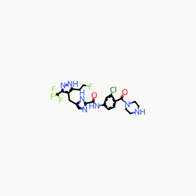 O=C(Nc1ccc(C(=O)N2CCNCC2)c(Cl)c1)c1ncc(Cc2c(C(F)(F)F)n[nH]c2CCF)[nH]1